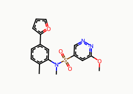 COc1cc(S(=O)(=O)N(C)c2cc(-c3ccco3)ccc2C)cnn1